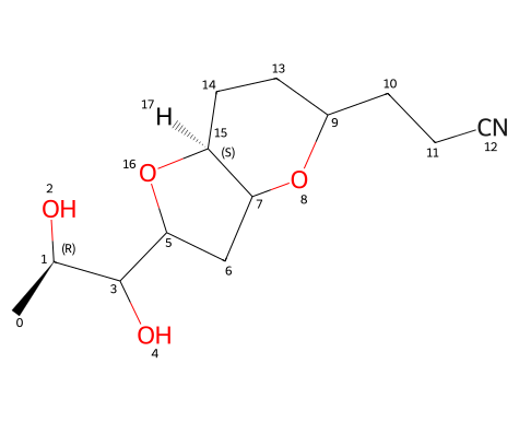 C[C@@H](O)C(O)C1CC2OC(CCC#N)CC[C@@H]2O1